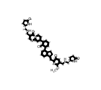 COc1nc(/C=C2\CCc3c2cccc3-c2cccc(-c3ccn4c(=O)c(CNC[C@@H]5CCC(=O)N5)cnc4c3)c2Cl)c(Cl)cc1CNC[C@H]1CCC(=O)N1